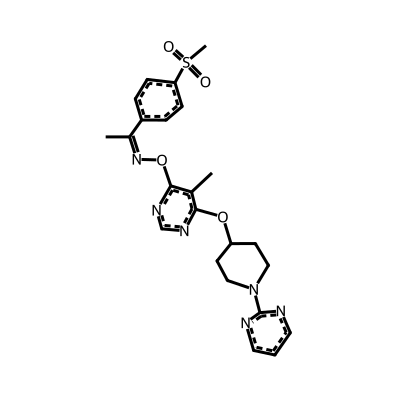 CC(=NOc1ncnc(OC2CCN(c3ncccn3)CC2)c1C)c1ccc(S(C)(=O)=O)cc1